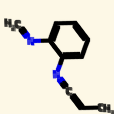 C=Nc1ccccc1N=C=CC